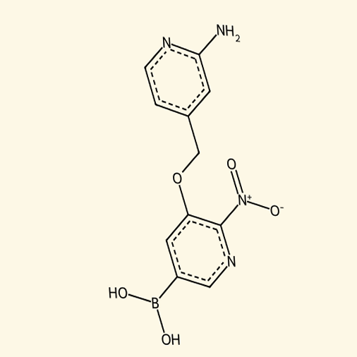 Nc1cc(COc2cc(B(O)O)cnc2[N+](=O)[O-])ccn1